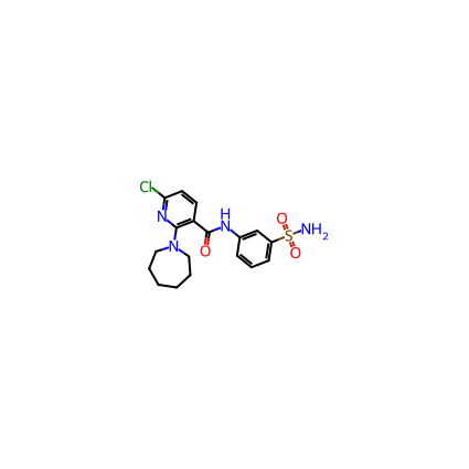 NS(=O)(=O)c1cccc(NC(=O)c2ccc(Cl)nc2N2CCCCCC2)c1